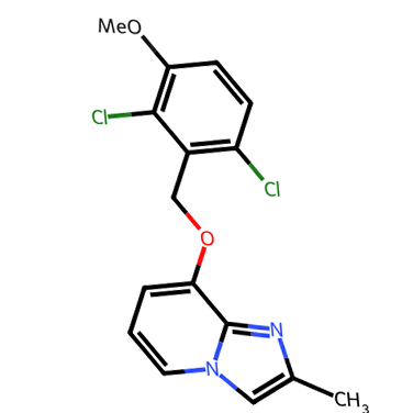 COc1ccc(Cl)c(COc2cccn3cc(C)nc23)c1Cl